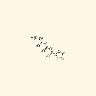 COC(=O)CC(=O)OC(=O)C1CCCO1